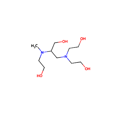 CN(CCO)C(CO)CN(CCO)CCO